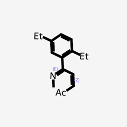 CCc1ccc(CC)c(C(/C=C\C(C)=O)=N/C)c1